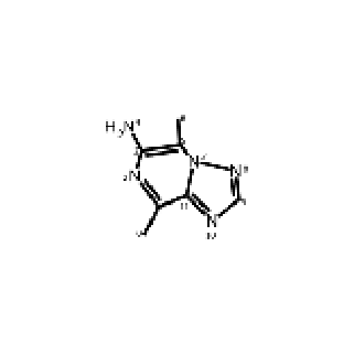 Cc1nc(N)c(C)n2ncnc12